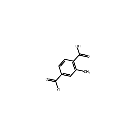 Cc1cc(C(=O)Cl)ccc1C(=O)O